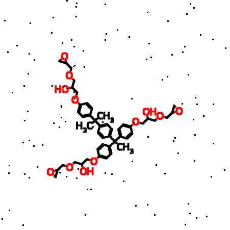 CC(C)(c1ccc(OCC(O)COCC2CO2)cc1)c1ccc(C(C)(c2ccc(OCC(O)COCC3CO3)cc2)c2ccc(OCC(O)COCC3CO3)cc2)cc1